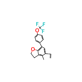 C=Cc1cc(-c2ccc(OC(F)(F)F)cc2)c2c(c1C)CCO2